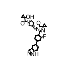 O=C(N1CC[C@@H](CN2C(=O)C3(CC3)N=C2c2ccc(-c3ccc4[nH]ncc4c3)cc2F)C1)C1(O)CC1